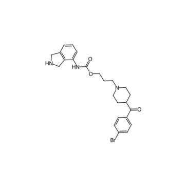 O=C(Nc1cccc2c1CNC2)OCCCN1CCC(C(=O)c2ccc(Br)cc2)CC1